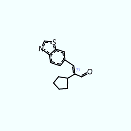 O=C/C(=C/c1ccc2ncsc2c1)C1CCCC1